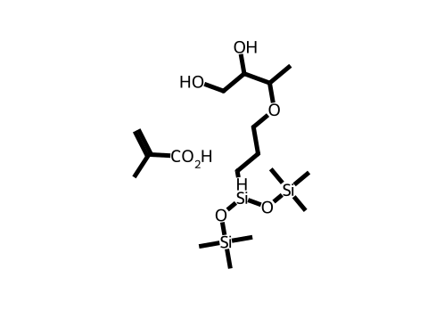 C=C(C)C(=O)O.CC(OCCC[SiH](O[Si](C)(C)C)O[Si](C)(C)C)C(O)CO